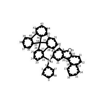 c1ccc(N(c2ccc3oc4ccc5ccccc5c4c3c2)c2cccc3c2-c2ccccc2C32c3ccccc3-c3ccccc32)cc1